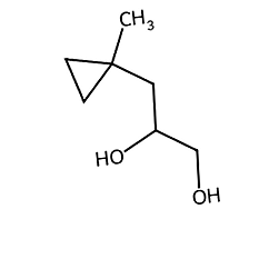 CC1(CC(O)CO)CC1